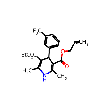 C=CCOC(=O)C1=C(C)NC(C)=C(C(=O)OCC)C1c1cccc(C(F)(F)F)c1